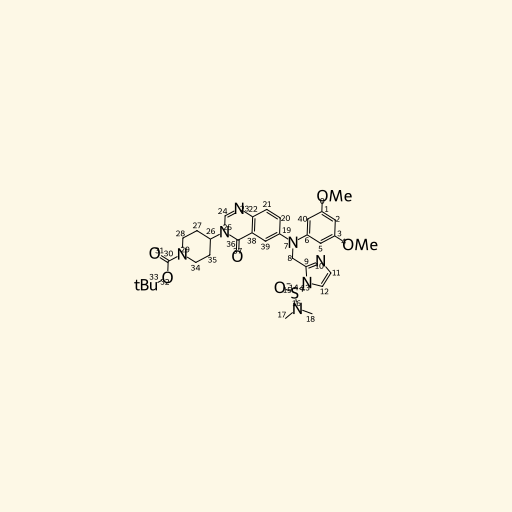 COc1cc(OC)cc(N(Cc2nccn2[S+]([O-])N(C)C)c2ccc3ncn(C4CCN(C(=O)OC(C)(C)C)CC4)c(=O)c3c2)c1